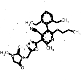 C=C1N(C)CC(=O)N1Cc1nnc(-c2c(C)nc(CCCC)c(-c3c(CC)cccc3CC)c2C#N)o1